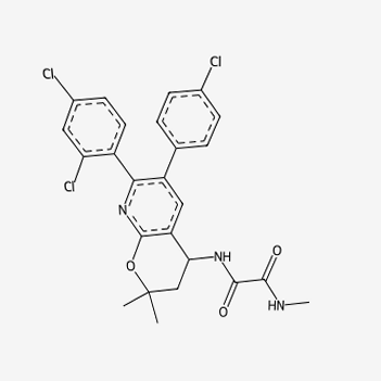 CNC(=O)C(=O)NC1CC(C)(C)Oc2nc(-c3ccc(Cl)cc3Cl)c(-c3ccc(Cl)cc3)cc21